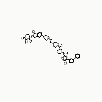 O=C1CCC(N2Cc3cc(C4CCN(CCC5CCN(C(=O)C6CCCC(Nc7ncc(Cl)c(-c8cccc(-c9ccccc9)c8)n7)C6)CC5)CC4)ccc3C2=O)C(=O)N1